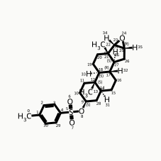 Cc1ccc(S(=O)(=O)O[C@H]2CC[C@@]3(C)[C@@H](CC[C@@H]4[C@@H]3CC[C@]3(C)[C@@H]5O[C@@H]5C[C@@H]43)C2)cc1